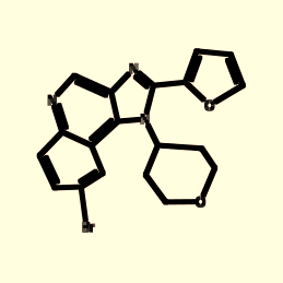 Brc1ccc2ncc3nc(-c4ccco4)n(C4CCOCC4)c3c2c1